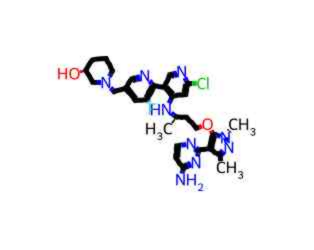 Cc1nn(C)c(OCC[C@H](C)Nc2cc(Cl)ncc2-c2ncc(CN3CCC[C@H](O)C3)cc2F)c1-c1nccc(N)n1